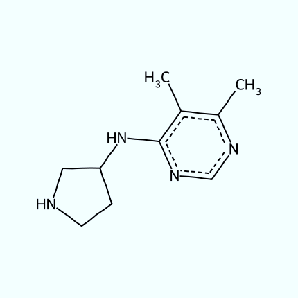 Cc1ncnc(NC2CCNC2)c1C